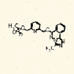 CS(=O)(=O)OCc1cccc(COc2nn3c(C(F)(F)F)nnc3c3ccccc23)n1